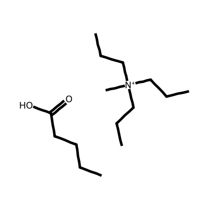 CCCCC(=O)O.CCC[N+](C)(CCC)CCC